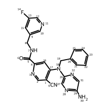 N#Cc1cnc(C(=O)NCc2cncc(F)c2)cc1N(Cc1ccccc1)c1cnc(N)cn1